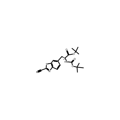 CC(C)(C)OC(=O)N[C@@H](Cc1ccc2nc(C#N)sc2c1)C(=O)OC(C)(C)C